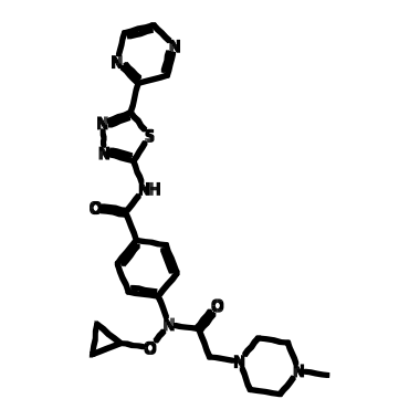 CN1CCN(CC(=O)N(OC2CC2)c2ccc(C(=O)Nc3nnc(-c4cnccn4)s3)cc2)CC1